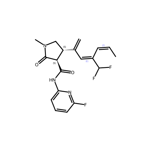 C=C(/C=C(\C=C/C)C(F)F)[C@H]1CN(C)C(=O)[C@@H]1C(=O)Nc1cccc(F)n1